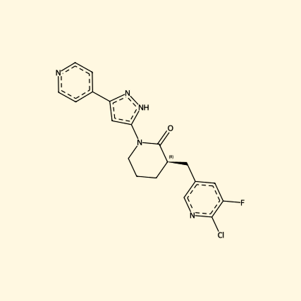 O=C1[C@@H](Cc2cnc(Cl)c(F)c2)CCCN1c1cc(-c2ccncc2)n[nH]1